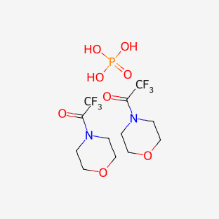 O=C(N1CCOCC1)C(F)(F)F.O=C(N1CCOCC1)C(F)(F)F.O=P(O)(O)O